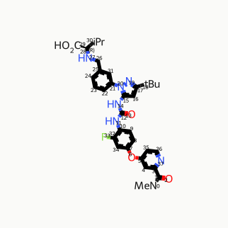 CNC(=O)c1cc(Oc2ccc(NC(=O)Nc3cc(C(C)(C)C)nn3-c3cccc(CN[C@@H](C(=O)O)C(C)C)c3)c(F)c2)ccn1